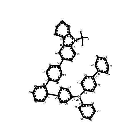 CC(C)(C)n1c2ccccc2c2cc(-c3ccc(-c4ccccc4-c4ccc(N(c5ccccc5)c5ccc(-c6ccccc6)cc5)cc4)cc3)ccc21